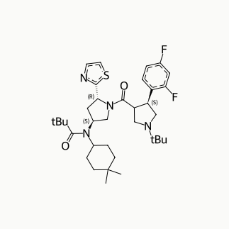 CC1(C)CCC(N(C(=O)C(C)(C)C)[C@H]2C[C@H](c3nccs3)N(C(=O)C3CN(C(C)(C)C)C[C@@H]3c3ccc(F)cc3F)C2)CC1